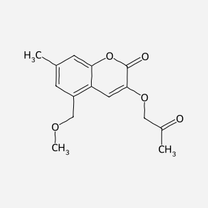 COCc1cc(C)cc2oc(=O)c(OCC(C)=O)cc12